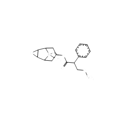 C[N+]1(C)C2CC(OC(=O)C(CO[N+](=O)[O-])c3ccccc3)CC1C1OC12